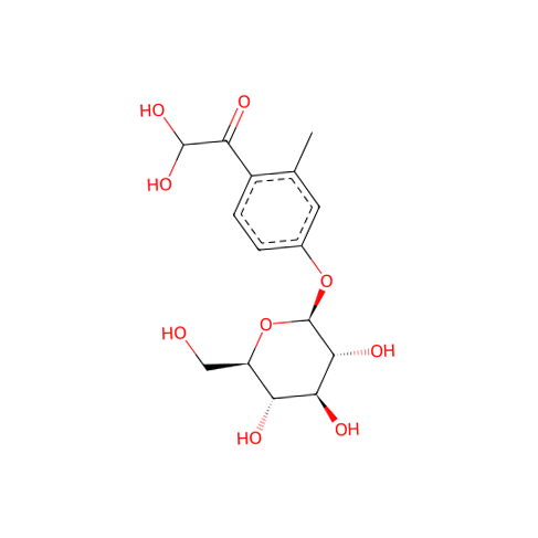 Cc1cc(O[C@@H]2O[C@H](CO)[C@@H](O)[C@H](O)[C@H]2O)ccc1C(=O)C(O)O